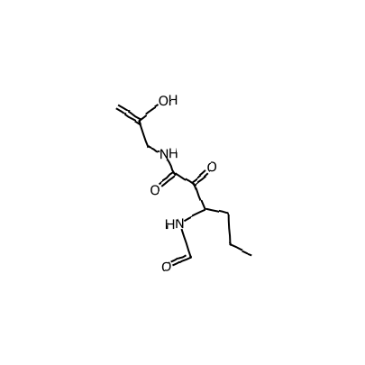 C=C(O)CNC(=O)C(=O)C(CCC)NC=O